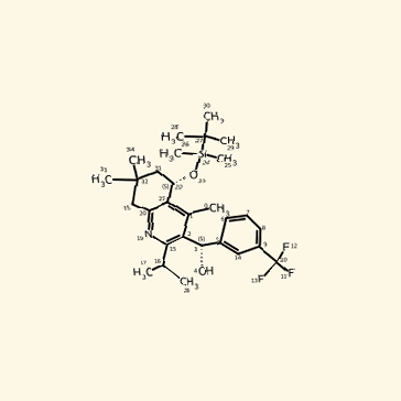 Cc1c([C@@H](O)c2cccc(C(F)(F)F)c2)c(C(C)C)nc2c1[C@@H](O[Si](C)(C)C(C)(C)C)CC(C)(C)C2